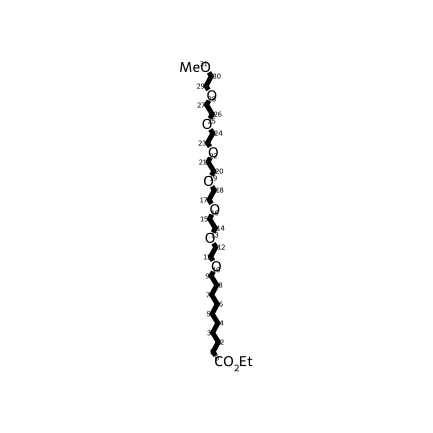 CCOC(=O)CCCCCCCCCOCCOCCOCCOCCOCCOCCOCCOC